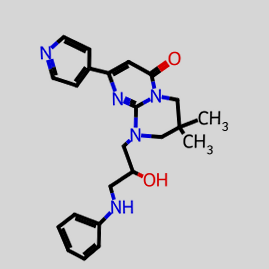 CC1(C)CN(CC(O)CNc2ccccc2)c2nc(-c3ccncc3)cc(=O)n2C1